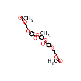 Cc1cc(OC(=O)c2ccc(OCCCCOCC3(C)CO3)cc2)ccc1OC(=O)c1ccc(OCCCCOCC2(C)CO2)cc1